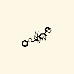 c1ccc(OCc2nc3ncc(-c4ccco4)cc3[nH]2)cc1